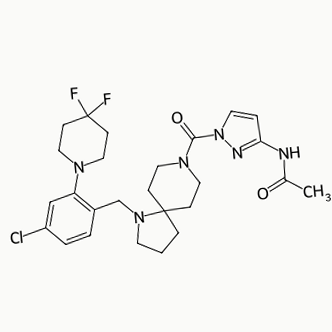 CC(=O)Nc1ccn(C(=O)N2CCC3(CCCN3Cc3ccc(Cl)cc3N3CCC(F)(F)CC3)CC2)n1